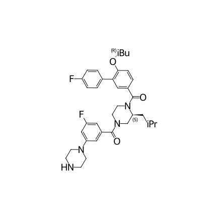 CC[C@@H](C)Oc1ccc(C(=O)N2CCN(C(=O)c3cc(F)cc(N4CCNCC4)c3)C[C@@H]2CC(C)C)cc1-c1ccc(F)cc1